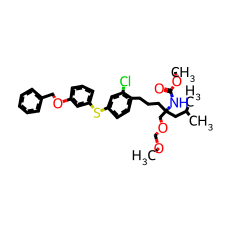 COCOCC(CCCc1ccc(Sc2cccc(OCc3ccccc3)c2)cc1Cl)(CC(C)C)NC(=O)OC